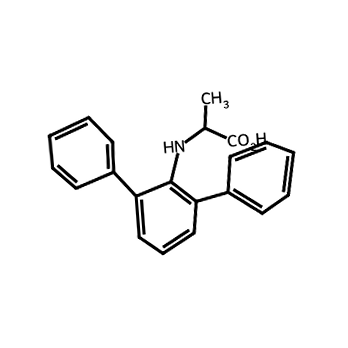 CC(Nc1c(-c2ccccc2)cccc1-c1ccccc1)C(=O)O